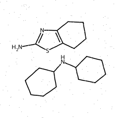 C1CCC(NC2CCCCC2)CC1.Nc1nc2c(s1)CCCC2